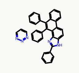 c1ccc(-c2nc3c(ccc4c5ccccc5c(-c5ccccc5)c(-c5ccccc5)c43)[nH]2)cc1.c1cnnnc1